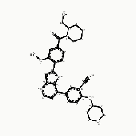 COc1cc(C(=O)N2CCCCC2CO)ccc1-c1cc2nccc(-c3ccc(OC4CCOCC4)c(C#N)c3)c2o1